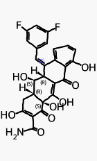 NC(=O)C1=C(O)C[C@@H]2[C@@H](O)[C@H]3C(=C(O)[C@]2(O)C1=O)C(=O)c1c(O)cccc1/C3=C\c1cc(F)cc(F)c1